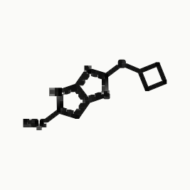 CCOC(=O)c1cc2sc(OC3CCC3)nc2[nH]1